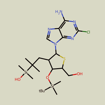 CC(C)(CC1C(O[Si](C)(C)C(C)(C)C)C(CO)SC1n1cnc2c(N)nc(Cl)nc21)[Si](C)(C)O